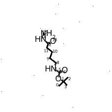 CC(C)(C)OC(=O)NCCCCC(=O)NN